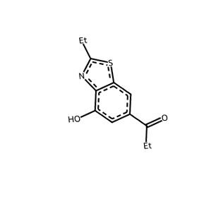 CCC(=O)c1cc(O)c2nc(CC)sc2c1